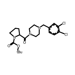 CC(C)(C)OC(=O)N1CCCC1C(=O)N1CCN(Cc2ccc(Cl)c(Cl)c2)CC1